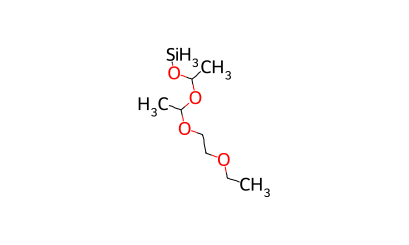 CCOCCOC(C)OC(C)O[SiH3]